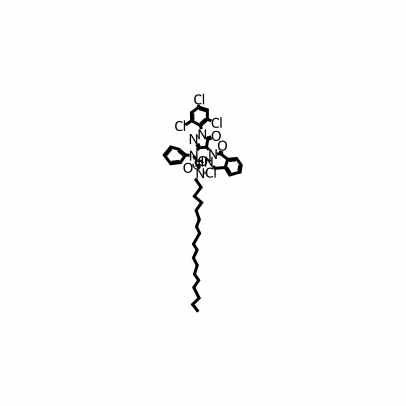 CCCCCCCCCCCCCCCCCCN(Cl)S(=O)(=O)N(C1=NN(c2c(Cl)cc(Cl)cc2Cl)C(=O)C1N1NCc2ccccc2C1=O)c1ccccc1